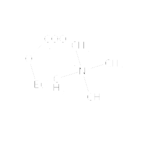 CCOC(=O)[O-].C[N+](C)(C)C